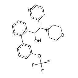 O[C@H](c1cccnc1-c1cccc(OC(F)(F)F)c1)[C@H](c1cccnc1)N1CCOCC1